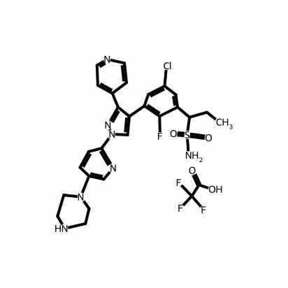 CCC(c1cc(Cl)cc(-c2cn(-c3ccc(N4CCNCC4)cn3)nc2-c2ccncc2)c1F)S(N)(=O)=O.O=C(O)C(F)(F)F